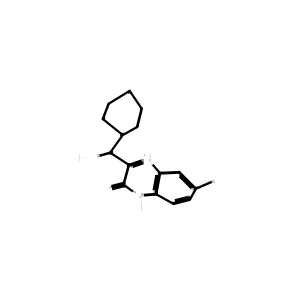 O=c1[nH]c2ccc(Cl)cc2nc1C(O)C1CCCCC1